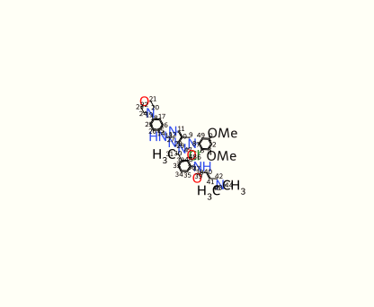 COc1cc(OC)c(Cl)c(N2Cc3cnc(Nc4ccc(N5CCOCC5)cc4)nc3N(C(C)c3cccc(NC(=O)/C=C/CN(C)C)c3)C2=O)c1